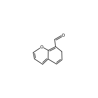 O=CC1=C2OC=CC=C2C=CC1